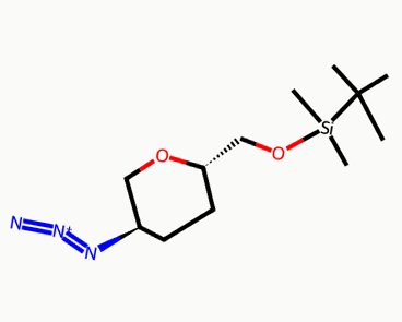 CC(C)(C)[Si](C)(C)OC[C@@H]1CC[C@@H](N=[N+]=[N-])CO1